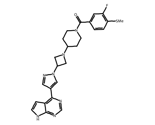 CSc1ccc(C(=O)N2CCC(N3C[C](n4cc(-c5ncnc6[nH]ccc56)cn4)C3)CC2)cc1F